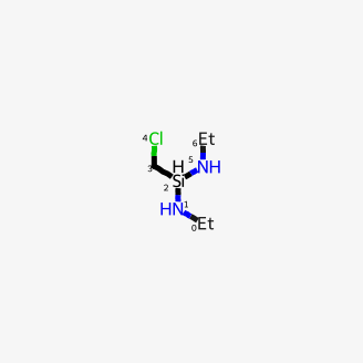 CCN[SiH](CCl)NCC